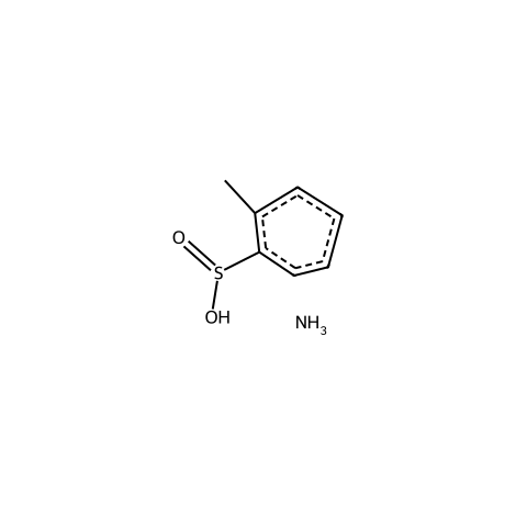 Cc1ccccc1S(=O)O.N